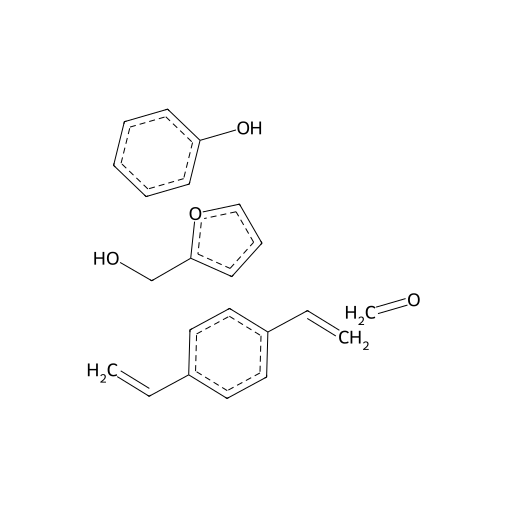 C=Cc1ccc(C=C)cc1.C=O.OCc1ccco1.Oc1ccccc1